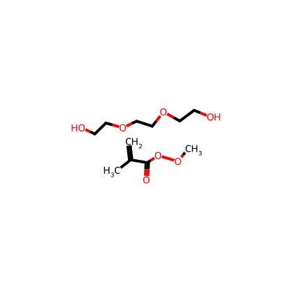 C=C(C)C(=O)OOC.OCCOCCOCCO